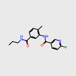 CCCNC(=O)c1ccc(C)c(NC(=O)c2ccc(F)nc2)c1